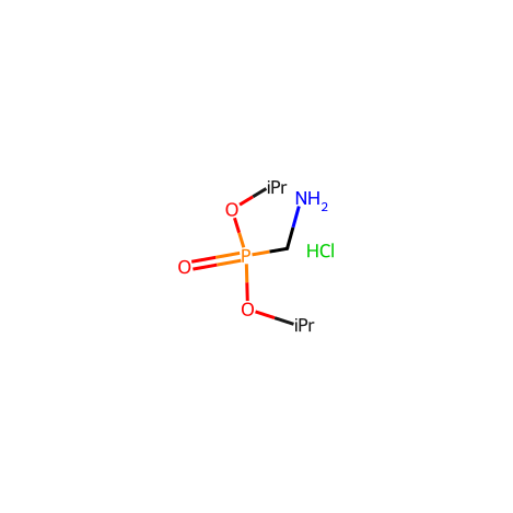 CC(C)OP(=O)(CN)OC(C)C.Cl